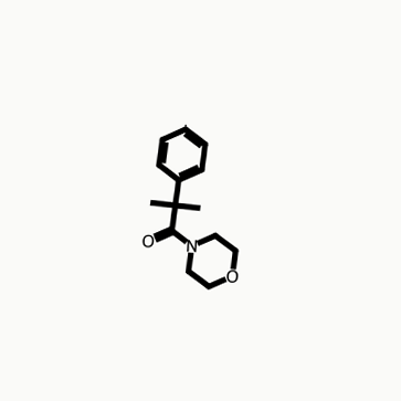 CC(C)(C(=O)N1CCOCC1)c1cc[c]cc1